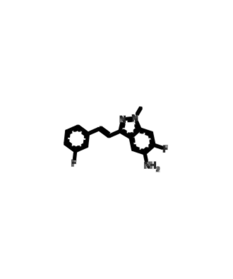 Cn1nc(/C=C/c2cccc(F)c2)c2cc(N)c(F)cc21